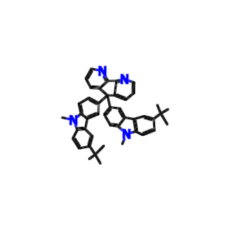 Cn1c2ccc(C(C)(C)C)cc2c2cc(C3(c4ccc5c(c4)c4cc(C(C)(C)C)ccc4n5C)c4cccnc4-c4ncccc43)ccc21